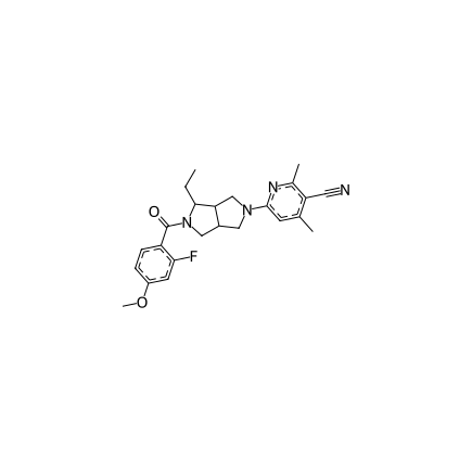 CCC1C2CN(c3cc(C)c(C#N)c(C)n3)CC2CN1C(=O)c1ccc(OC)cc1F